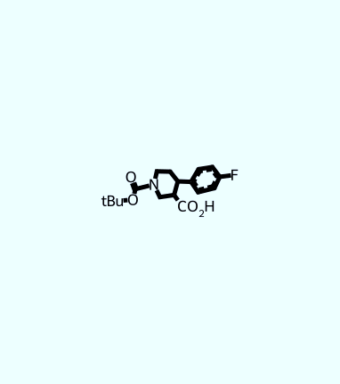 CC(C)(C)OC(=O)N1CCC(c2ccc(F)cc2)C(C(=O)O)C1